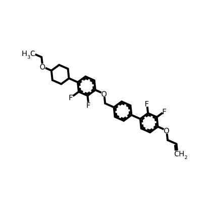 C=CCOc1ccc(-c2ccc(COc3ccc(C4CCC(OCC)CC4)c(F)c3F)cc2)c(F)c1F